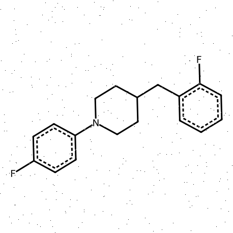 Fc1ccc(N2CCC(Cc3ccccc3F)CC2)cc1